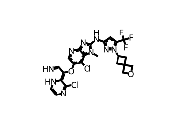 Cn1c(Nc2cc(C(F)(F)F)n(C3CC4(COC4)C3)n2)nc2ncc(O/C(C=N)=C3/NC=CN=C3Cl)c(Cl)c21